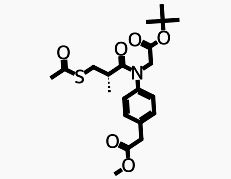 COC(=O)Cc1ccc(N(CC(=O)OC(C)(C)C)C(=O)[C@H](C)CSC(C)=O)cc1